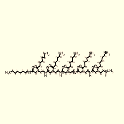 CCCCCCCCNC(=O)CN(CCNC(=O)CN(CCNC(=O)CN(CCNC(=O)CN(CCNC(=O)CN(CCNC)C(=O)CCCCCN)C(=O)CCCCCN)C(=O)CCCCCN)C(=O)CCCCCN)C(=O)CCCCCN